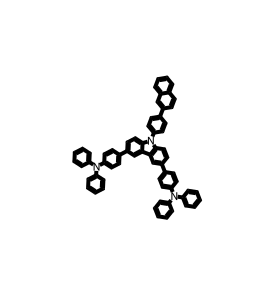 c1ccc(N(c2ccccc2)c2ccc(-c3ccc4c(c3)c3cc(-c5ccc(N(c6ccccc6)c6ccccc6)cc5)ccc3n4-c3ccc(-c4ccc5ccccc5c4)cc3)cc2)cc1